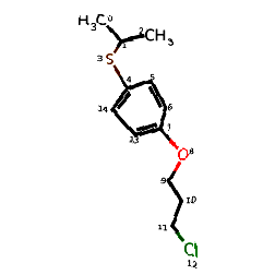 CC(C)Sc1ccc(OCCCCl)cc1